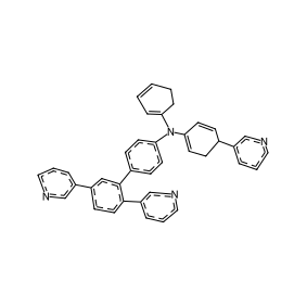 C1=CCCC(N(C2=CCC(c3cccnc3)C=C2)c2ccc(-c3cc(-c4cccnc4)ccc3-c3cccnc3)cc2)=C1